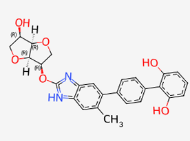 Cc1cc2[nH]c(O[C@@H]3CO[C@H]4[C@@H]3OC[C@H]4O)nc2cc1-c1ccc(-c2c(O)cccc2O)cc1